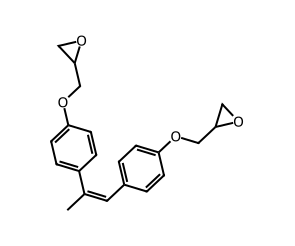 CC(=Cc1ccc(OCC2CO2)cc1)c1ccc(OCC2CO2)cc1